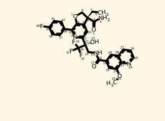 CC[C@]1(C(N)=O)COc2c1cc([C@@](O)(CNC(=O)c1cc(OC)c3ncccc3c1)C(F)(F)F)nc2-c1ccc(F)cc1